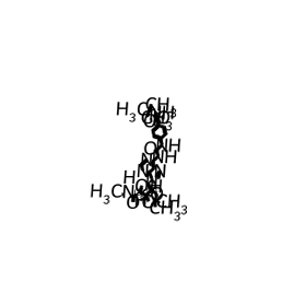 CCNC(=O)[C@H]1O[C@@H](n2cnc3c(NC(=O)Nc4ccc(S(=O)(=O)NC(C)(C)C)cc4)ncnc32)[C@@H]2OC(C)(C)O[C@@H]21